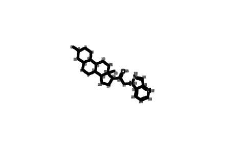 CC1CCC2C(CCC3C2CCC2(C)C(C(=O)Cn4ncc5ncccc54)CCC32)C1